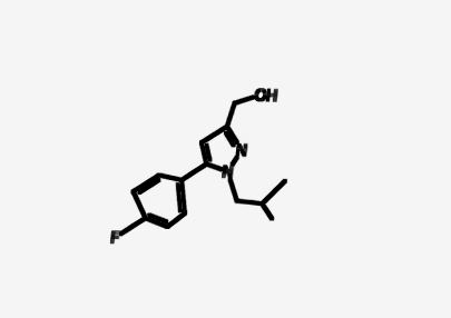 CC(C)Cn1nc(CO)cc1-c1ccc(F)cc1